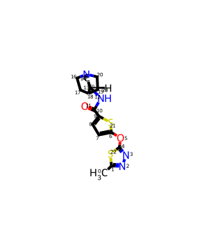 Cc1nnc(Oc2ccc(C(=O)N[C@H]3CN4CCC3CC4)s2)s1